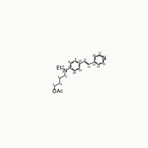 CCN(CCCCOC(C)=O)c1ccc(C=Cc2ccncc2)cc1